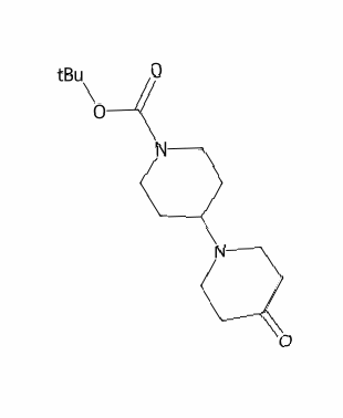 CC(C)(C)OC(=O)N1CCC(N2CCC(=O)CC2)CC1